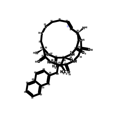 CC(C)[C@H]1NC(=O)C[C@H]2/C=C/CCSSC[C@@H](NC1=O)C(=O)NC(Cc1ccc3ccccc3c1)C(=O)NCC(=O)O2